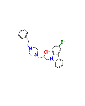 OC(CN1CCN(CCc2ccccc2)CC1)Cn1c2ccccc2c2cc(Br)ccc21